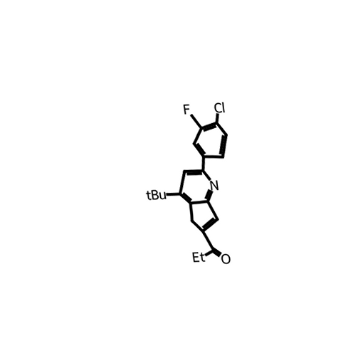 CCC(=O)C1=Cc2nc(-c3ccc(Cl)c(F)c3)cc(C(C)(C)C)c2C1